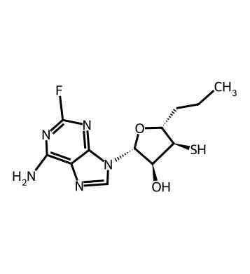 CCC[C@H]1O[C@@H](n2cnc3c(N)nc(F)nc32)[C@H](O)[C@@H]1S